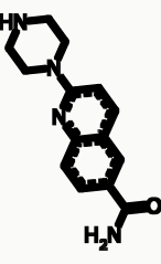 NC(=O)c1ccc2nc(N3CCNCC3)ccc2c1